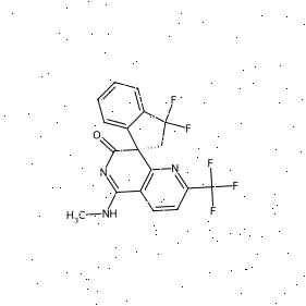 CNC1=NC(=O)[C@]2(CC(F)(F)c3ccccc32)c2nc(C(F)(F)F)ccc21